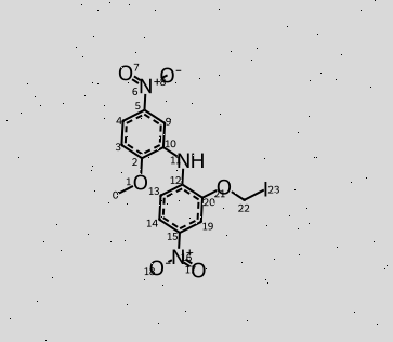 COc1ccc([N+](=O)[O-])cc1Nc1ccc([N+](=O)[O-])cc1OCI